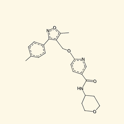 Cc1ccc(-c2noc(C)c2COc2ccc(C(=O)NC3CCOCC3)cn2)cc1